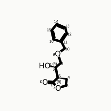 O=C1OCC[C@@H]1[C@@H](O)COCc1ccccc1